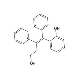 OCCC(=C(c1ccccc1)c1ccccc1O)c1ccccc1